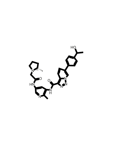 Cc1ncc(NC(=O)CN2CCC[C@@H]2C)cc1NC(=O)c1nnn2cc(-c3ccc(C(C)O)cc3)ccc12